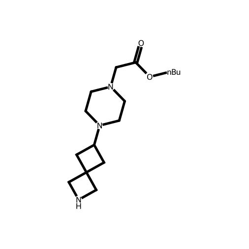 CCCCOC(=O)CN1CCN(C2CC3(CNC3)C2)CC1